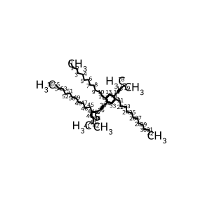 CCCCCCCCCCCCc1cc(C#CC(C)C)c(CCCCCCCCCCCC)cc1C#Cc1sc(C(C)C)cc1CCCCCCCCCCCC